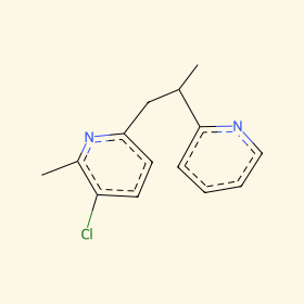 Cc1nc(CC(C)c2ccccn2)ccc1Cl